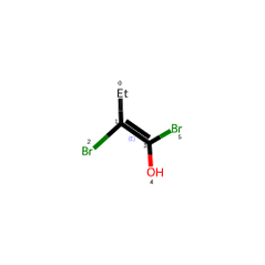 CC/C(Br)=C(/O)Br